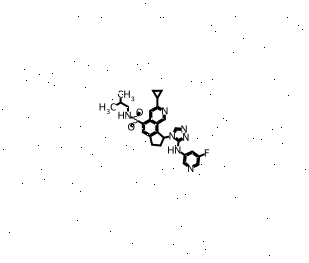 CC(C)CNS(=O)(=O)c1cc2c(c3cnc(C4CC4)cc13)C(n1cnnc1Nc1cncc(F)c1)CC2